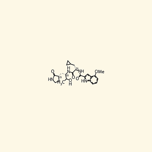 COc1cccc2[nH]c(C(=O)N[C@@H](CC3CC3)C(=O)N[C@@H](C[C@@H]3CCNC3=O)C(C)O)cc12